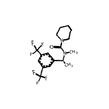 C[C@@H](c1cc(C(F)(F)F)cc(C(F)(F)F)c1)N(C)C(=O)N1CCCCC1